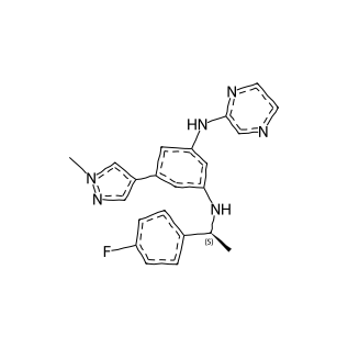 C[C@H](Nc1cc(Nc2cnccn2)cc(-c2cnn(C)c2)c1)c1ccc(F)cc1